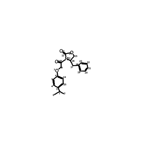 CC(C)c1ccc(OCC(=O)N2C(=O)OCC2Cc2ccccc2)cc1